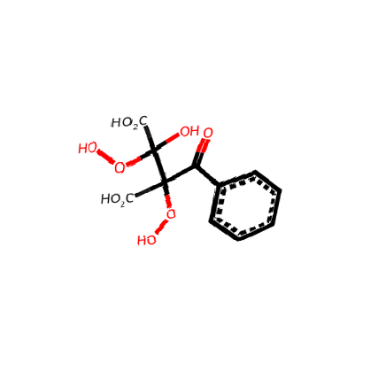 O=C(O)C(O)(OO)C(OO)(C(=O)O)C(=O)c1ccccc1